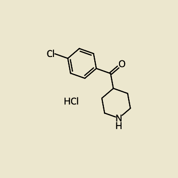 Cl.O=C(c1ccc(Cl)cc1)C1CCNCC1